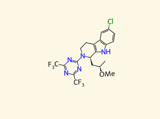 CO[C@H](C)C[C@@H]1c2[nH]c3ccc(Cl)cc3c2CCN1c1nc(C(F)(F)F)nc(C(F)(F)F)n1